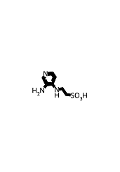 Nc1cnccc1NCCS(=O)(=O)O